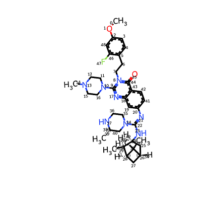 COc1ccc(CCn2c(N3CCN(C)CC3)nc3cc(N=C(N[C@H]4C[C@@H]5C[C@@H]([C@H]4C)C5(C)C)N4CCN[C@@H](C)C4)ccc3c2=O)c(F)c1